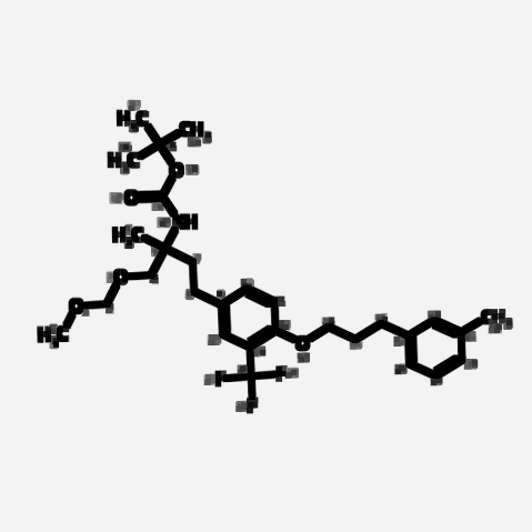 COCOCC(C)(CCc1ccc(OCCCc2cccc(C)c2)c(C(F)(F)F)c1)NC(=O)OC(C)(C)C